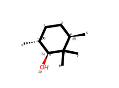 C[C@@H]1CC[C@@H](C)C(C)(C)[C@H]1O